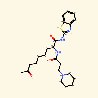 CC(=O)CCCCC[C@H](NC(=O)CCN1CCCCC1)C(=O)Nc1nc2ccccc2s1